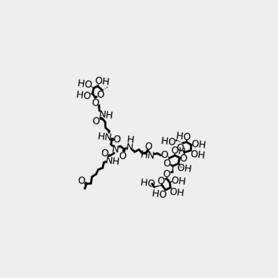 CC(=O)CCCCCCNC(=O)CN(CC(=O)NCCCC(=O)NCCO[C@@H]1O[C@@H](C)[C@@H](O)[C@@H](O)[C@@H]1O)CC(=O)NCCCC(=O)NCCO[C@H]1O[C@H](CO[C@H]2O[C@H](CO)[C@@H](O)[C@H](O)[C@@H]2O)[C@@H](O)[C@H](O[C@H]2O[C@H](CO)[C@@H](O)[C@H](O)[C@@H]2O)[C@@H]1O